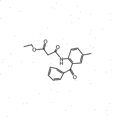 CCOC(=O)CC(=O)Nc1ccc(C)cc1C(=O)c1ccccc1